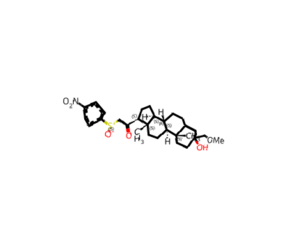 COCC1(O)CC[C@@]2(C)C(CC[C@H]3[C@@H]4CC[C@H](C(=O)C[S@@+]([O-])c5ccc([N+](=O)[O-])cc5)[C@@]4(C)CC[C@@H]32)C1